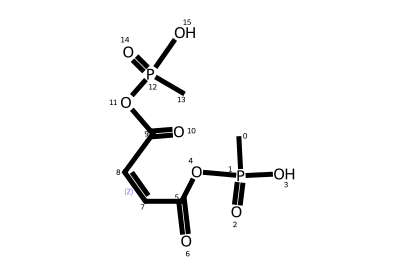 CP(=O)(O)OC(=O)/C=C\C(=O)OP(C)(=O)O